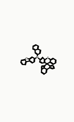 c1ccc2c(c1)Sc1cc(N(c3ccc4ccccc4c3)c3ccc4c(c3)oc3ccccc34)ccc1C21c2ccccc2-c2cccc3cccc1c23